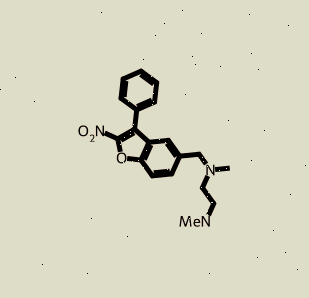 CNCCN(C)Cc1ccc2oc([N+](=O)[O-])c(-c3ccccc3)c2c1